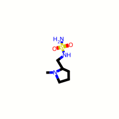 CN1CCCC1CNS(N)(=O)=O